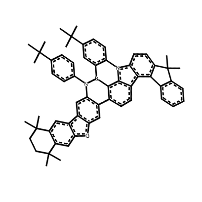 CC(C)(C)c1ccc(N2B3c4cc(C(C)(C)C)ccc4-n4c5ccc6c(c5c5ccc(c3c54)-c3cc4oc5cc7c(cc5c4cc32)C(C)(C)CCC7(C)C)-c2ccccc2C6(C)C)cc1